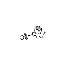 COc1cc(C#CS(=O)(=O)C2CCCCC2)cc(Oc2[nH]nnc2C(=O)O)c1